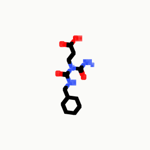 NC(=O)N(CCC(=O)O)C(=O)NCC1CCCCC1